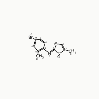 Cc1csc(=Nc2ccc(Br)cc2C)s1